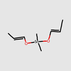 CC=C[O][Sn]([CH3])([CH3])[O]C=CC